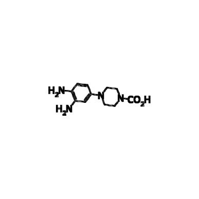 Nc1ccc(N2CCN(C(=O)O)CC2)cc1N